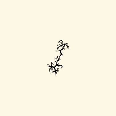 CO[Si](CCCOCNC(=O)C(C(F)(F)F)C(F)(F)F)(OC)OC